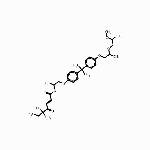 CCC(C)(C)C(=O)/C=C/C(=O)OC(C)COc1ccc(C(C)(C)c2ccc(OCC(C)OCC(C)OC)cc2)cc1